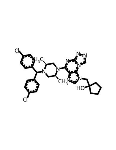 C[C@@H]1CN(c2nc3nncn3c3c2ncn3CC2(O)CCCC2)[C@@H](C)CN1C(c1ccc(Cl)cc1)c1ccc(Cl)cc1